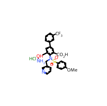 COc1ccc(S(=O)(=O)N(Cc2cccnc2)c2c(C)cc(-c3cccc(C(F)(F)F)c3)cc2C(=O)O)cc1.Cl.NO